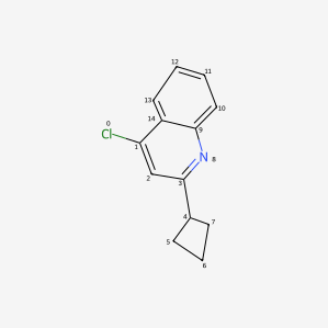 Clc1cc(C2CCC2)nc2ccccc12